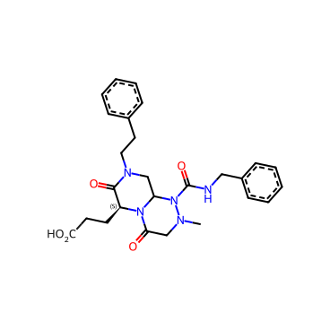 CN1CC(=O)N2C(CN(CCc3ccccc3)C(=O)[C@@H]2CCC(=O)O)N1C(=O)NCc1ccccc1